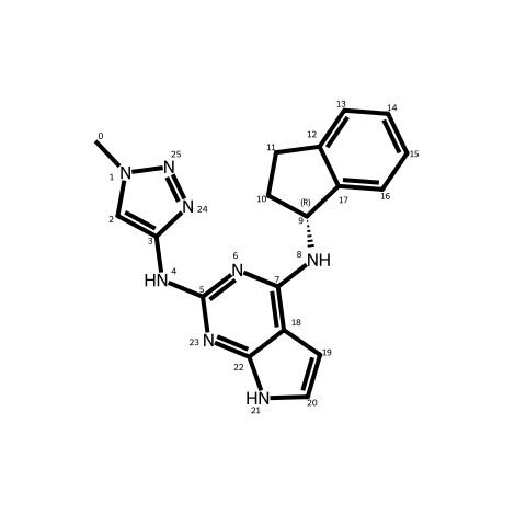 Cn1cc(Nc2nc(N[C@@H]3CCc4ccccc43)c3cc[nH]c3n2)nn1